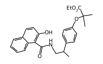 CCOC(=O)C(C)(C)Oc1ccc(C(C)CNC(=O)c2c(O)ccc3ccccc23)cc1